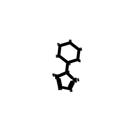 C1=NC(C2CCCCC2)N=C1